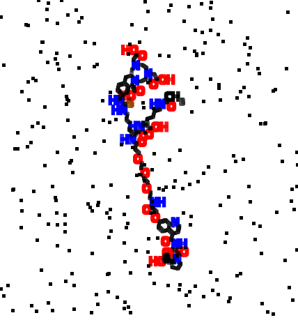 CC(=O)NCCCC[C@H](NC(=O)[C@H](CCCCNC(=S)Nc1ccc(CC2CN(CC(=O)O)CCN(CC(=O)O)CCN2CC(=O)O)cc1)NC(=O)CCOCCOCCOCCNC(=O)COc1ccc2c(C(=O)NCC(=O)N3CCC[C@H]3B(O)O)ccnc2c1)C(=O)O